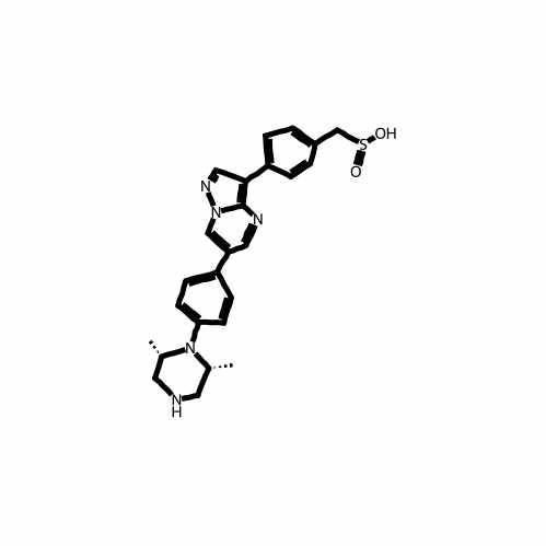 C[C@@H]1CNC[C@H](C)N1c1ccc(-c2cnc3c(-c4ccc(CS(=O)O)cc4)cnn3c2)cc1